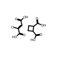 O=C(O)C1CCC1C(=O)O.O=C(O)C=C(Cl)C(=O)O